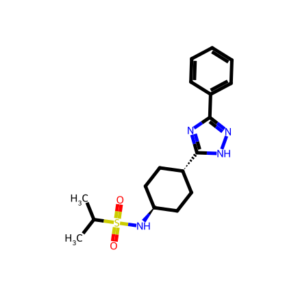 CC(C)S(=O)(=O)N[C@H]1CC[C@H](c2nc(-c3ccccc3)n[nH]2)CC1